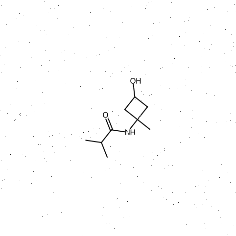 CC(C)C(=O)NC1(C)CC(O)C1